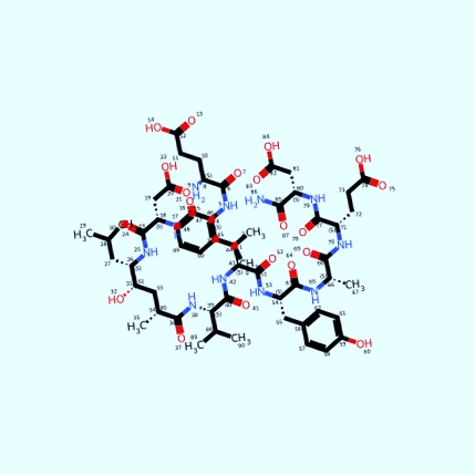 CC(C)C[C@H](NC(=O)[C@@H](N)CCC(=O)O)C(=O)N[C@@H](CC(=O)O)C(=O)N[C@@H](CC(C)C)[C@@H](O)C[C@@H](C)C(=O)N[C@H](C(=O)N[C@@H](Cc1ccccc1)C(=O)N[C@@H](Cc1ccc(O)cc1)C(=O)N[C@@H](C)C(=O)N[C@@H](CCC(=O)O)C(=O)N[C@@H](CC(=O)O)C(N)=O)C(C)C